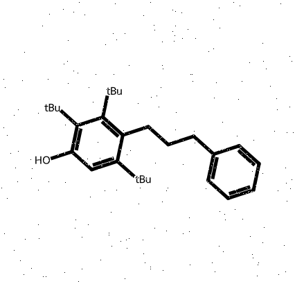 CC(C)(C)c1cc(O)c(C(C)(C)C)c(C(C)(C)C)c1CCCc1ccccc1